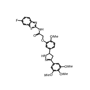 COc1ccc(C2CC(c3cc(OC)c(OC)c(OC)c3)=NN2)cc1OCC(=O)Nc1nc2ccc(F)cc2s1